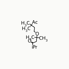 CC(=O)C(C)(C)CCOC(C)(C)CC(=O)C(C)C